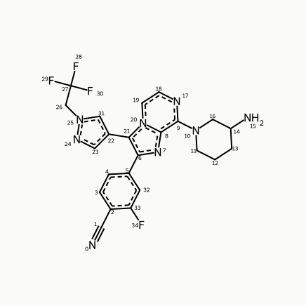 N#Cc1ccc(-c2nc3c(N4CCCC(N)C4)nccn3c2-c2cnn(CC(F)(F)F)c2)cc1F